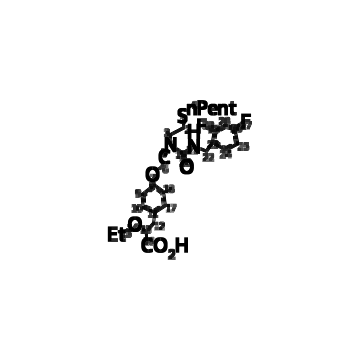 CCCCCSCCN(CCOc1ccc(CC(OCC)C(=O)O)cc1)C(=O)NCc1ccc(F)cc1F